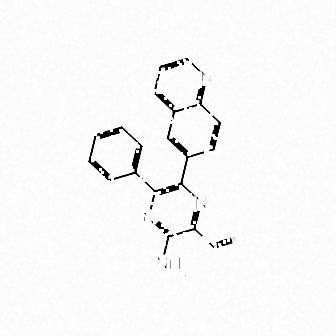 Nc1nc(-c2ccccc2)c(-c2ccc3ncccc3c2)nc1C=O